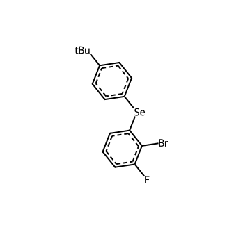 CC(C)(C)c1ccc([Se]c2cccc(F)c2Br)cc1